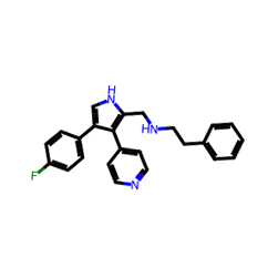 Fc1ccc(-c2c[nH]c(CNCCc3ccccc3)c2-c2ccncc2)cc1